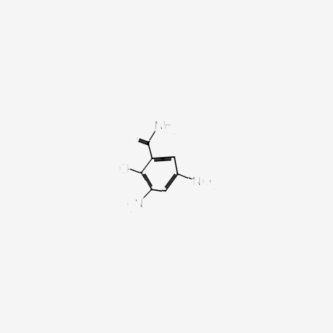 NC(=O)c1cc([N+](=O)[O-])cc([N+](=O)[O-])c1Cl